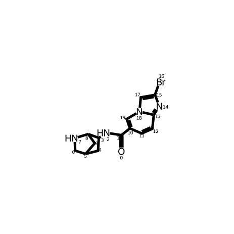 O=C(NC1CC2CNC1C2)c1ccc2nc(Br)cn2c1